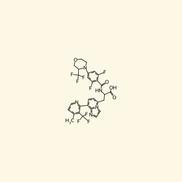 Cc1ccnc(-c2ccc(CC(NC(=O)c3c(F)cc(N4CCOCC4C(F)(F)F)cc3F)C(=O)O)n3ccnc23)c1C(F)(F)F